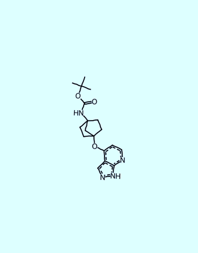 CC(C)(C)OC(=O)NC12CCC(Oc3ccnc4[nH]ncc34)(CC1)C2